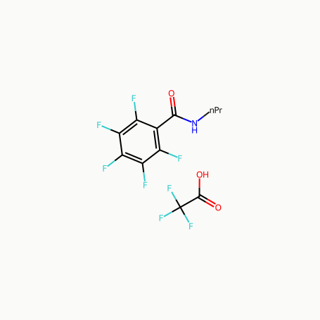 CCCNC(=O)c1c(F)c(F)c(F)c(F)c1F.O=C(O)C(F)(F)F